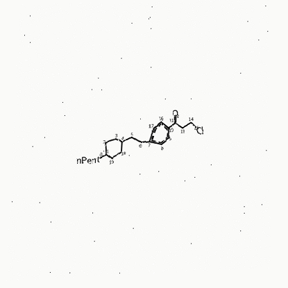 CCCCCC1CCC(CCc2ccc(C(=O)CCCl)cc2)CC1